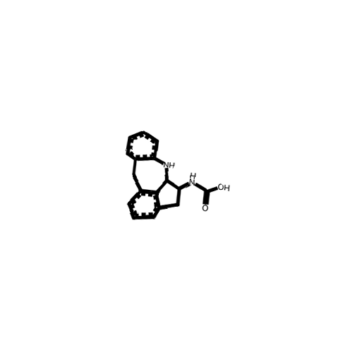 O=C(O)NC1Cc2cccc3c2C1Nc1ccccc1C3